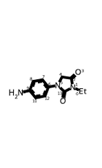 CCN1C(=O)CN(c2ccc(N)cc2)C1=O